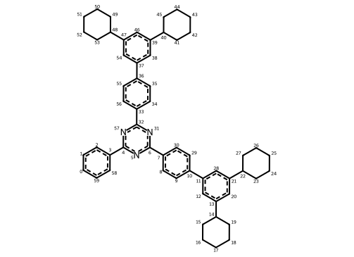 c1ccc(-c2nc(-c3ccc(-c4cc(C5CCCCC5)cc(C5CCCCC5)c4)cc3)nc(-c3ccc(-c4cc(C5CCCCC5)cc(C5CCCCC5)c4)cc3)n2)cc1